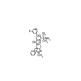 CN1N=C2CCN(C(=O)[C@@H](COc3cncc(F)c3)NC(=O)C(C)(C)N)C[C@@]2(Cc2ccccc2)C1=O